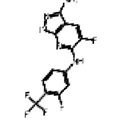 Nc1n[nH]c2nc(Nc3ccc(C(F)(F)F)c(F)c3)c(F)cc12